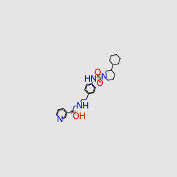 O=S(=O)(Nc1ccc(CCNC[C@@H](O)c2cccnc2)cc1)N1CCCC(C2CCCCC2)C1